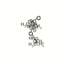 CCOP(=O)(CC(C(=O)O)c1cccc(CNC(=O)OC(C)(C)C)c1)C(NC(=O)OCc1ccccc1)C(C)C